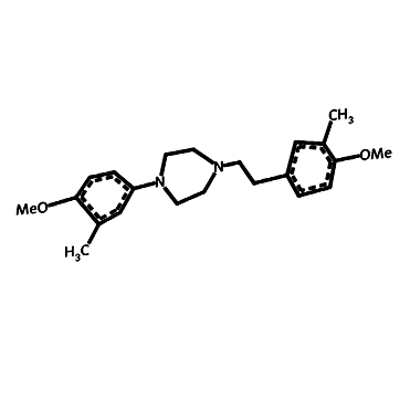 COc1ccc(CCN2CCN(c3ccc(OC)c(C)c3)CC2)cc1C